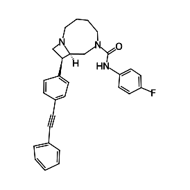 O=C(Nc1ccc(F)cc1)N1CCCCN2C[C@H](c3ccc(C#Cc4ccccc4)cc3)[C@@H]2C1